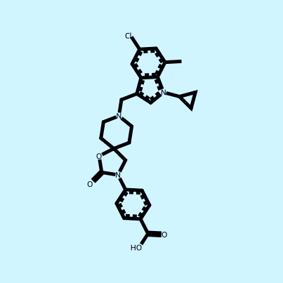 Cc1cc(Cl)cc2c(CN3CCC4(CC3)CN(c3ccc(C(=O)O)cc3)C(=O)O4)cn(C3CC3)c12